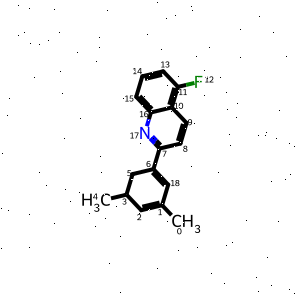 CC1=CC(C)CC(c2ccc3c(F)cccc3n2)=C1